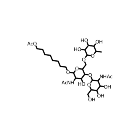 CC(=O)NC1C(OC2C(COC3OC(C)C(O)C(O)C3O)OC(OCCCCCCCCOC(C)=O)C(NC(C)=O)C2O)OC(CO)C(O)C1O